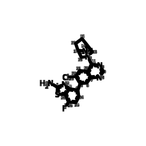 Nc1nc2c(-c3cc4ncnc(N5CC6CCC(C5)N6)c4cc3Cl)ccc(F)c2s1